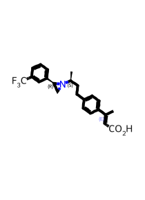 C/C(=C\C(=O)O)c1ccc(CC[C@H](C)N2C[C@H]2c2cccc(C(F)(F)F)c2)cc1